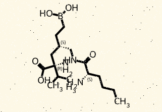 CCCC[C@H](N)C(=O)NC[C@@H](CCB(O)O)C[C@](N)(C(=O)O)C(C)C